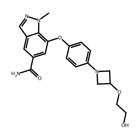 Cn1ncc2cc(C(N)=O)cc(Oc3ccc(N4CC(OCCO)C4)cc3)c21